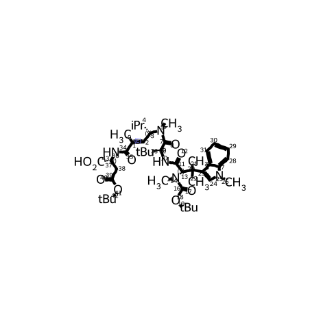 C/C(=C\[C@H](C(C)C)N(C)C(=O)[C@@H](NC(=O)[C@@H](N(C)C(=O)OC(C)(C)C)C(C)(C)c1cn(C)c2ccccc12)C(C)(C)C)C(=O)N[C@H](CC(=O)OC(C)(C)C)C(=O)O